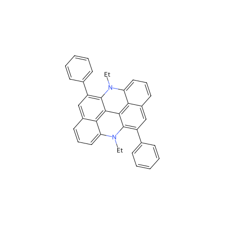 CCn1c2c(-c3ccccc3)cc3cccc4c3c2-c2c3c(cccc31)cc(-c1ccccc1)c2n4CC